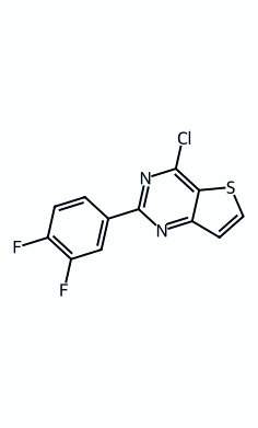 Fc1ccc(-c2nc(Cl)c3sccc3n2)cc1F